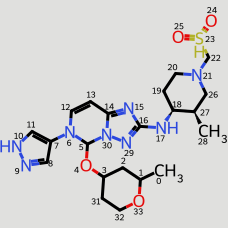 CC1CC(OC2N(c3cn[nH]c3)C=Cc3nc(N[C@H]4CCN(C[SH](=O)=O)C[C@H]4C)nn32)CCO1